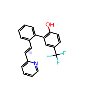 Oc1ccc(C(F)(F)F)cc1-c1ccccc1/C=C/c1ccccn1